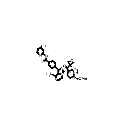 COC[C@H]1CC[C@](C(=O)C2(C)COC2)(c2nc(-c3ccc(C(=O)Nc4cc(C(F)(F)F)ccn4)cc3)c3c(N)nccn23)CN1